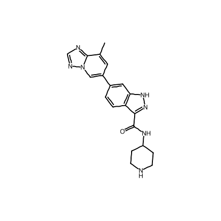 Cc1cc(-c2ccc3c(C(=O)NC4CCNCC4)n[nH]c3c2)cn2ncnc12